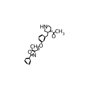 CC(=O)[C@H]1CCNCC1Cc1cccc(OCCc2nc(-c3ccccc3)oc2C)c1